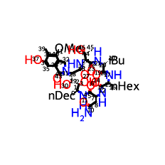 CCCCCCCCCC[C@@H](CO)NC(=O)[C@H](CC(N)=O)NC(=O)[C@H](CCCCCC)NC(=O)[C@@H](NC(=O)[C@H](NC(=O)[C@H](CO)N1Cc2c(cc(O)c(C)c2OC)C1=O)[C@@H](C)O)[C@@H](C)CC